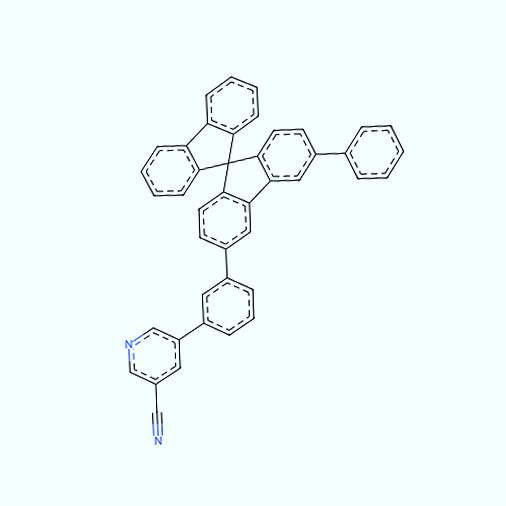 N#Cc1cncc(-c2cccc(-c3ccc4c(c3)-c3cc(-c5ccccc5)ccc3C43c4ccccc4-c4ccccc43)c2)c1